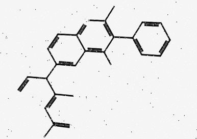 C=CC(/C(C)=C/C(C)=N)c1ccc2nc(C)c(-c3ccccc3)c(Cl)c2c1